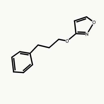 c1ccc(CCCOc2ccon2)cc1